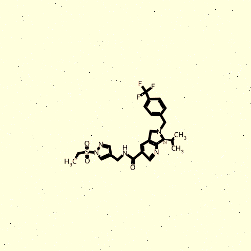 CCS(=O)(=O)n1cc(CNC(=O)c2cnc3c(c2)CN(Cc2ccc(C(F)(F)F)cc2)[C@H]3C(C)C)cn1